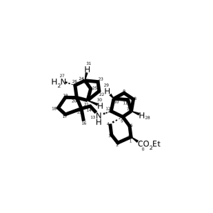 CCOC(=O)[C@H]1CCC[C@@]2(C1)[C@H]1CC[C@H](C1)[C@H]2NCC1(C)CCCC12[C@H]1CC[C@H](C1)[C@H]2N